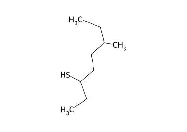 CCC(C)CCC(S)CC